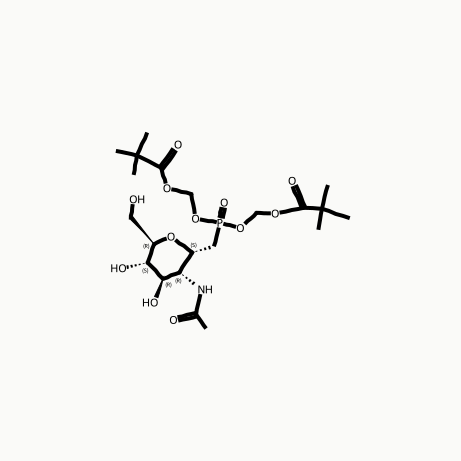 CC(=O)N[C@@H]1[C@@H](O)[C@H](O)[C@@H](CO)O[C@@H]1CP(=O)(OCOC(=O)C(C)(C)C)OCOC(=O)C(C)(C)C